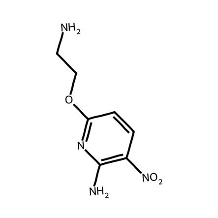 NCCOc1ccc([N+](=O)[O-])c(N)n1